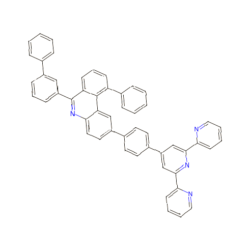 c1ccc(-c2cccc(-c3nc4ccc(-c5ccc(-c6cc(-c7ccccn7)nc(-c7ccccn7)c6)cc5)cc4c4c(-c5ccccc5)cccc34)c2)cc1